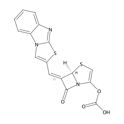 O=C(O)OC1=CS[C@@H]2/C(=C\c3cn4c(nc5ccccc54)s3)C(=O)N12